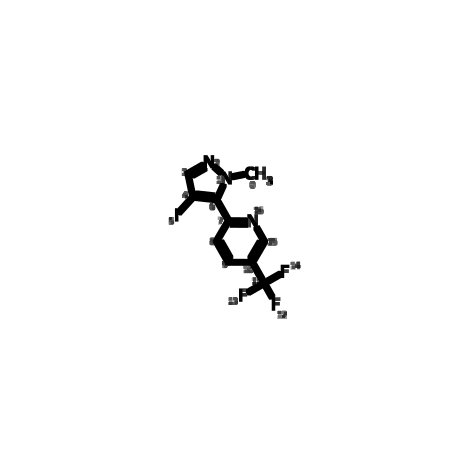 Cn1ncc(I)c1-c1ccc(C(F)(F)F)cn1